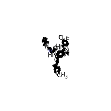 CN1CCC2(CC1)CC2COc1cc2ncnc(Nc3ccc(F)c(Cl)c3)c2cc1NC(=O)/C=C/CN1CC2(CCC2)C1